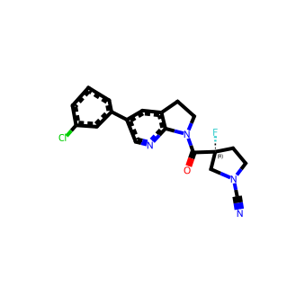 N#CN1CC[C@](F)(C(=O)N2CCc3cc(-c4cccc(Cl)c4)cnc32)C1